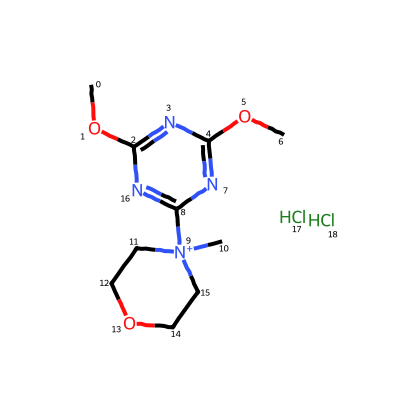 COc1nc(OC)nc([N+]2(C)CCOCC2)n1.Cl.Cl